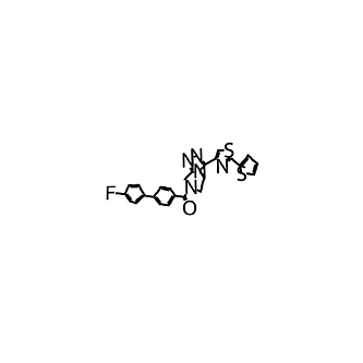 O=C(c1ccc(-c2ccc(F)cc2)cc1)N1CCn2c(nnc2-c2csc(-c3cccs3)n2)C1